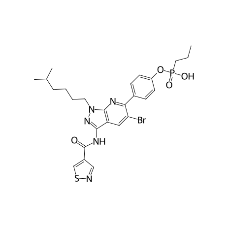 CCCP(=O)(O)Oc1ccc(-c2nc3c(cc2Br)c(NC(=O)c2cnsc2)nn3CCCCC(C)C)cc1